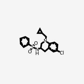 O=S(=O)(NC1Cc2cc(Cl)ccc2N(CC2CC2)C1)c1ccccc1